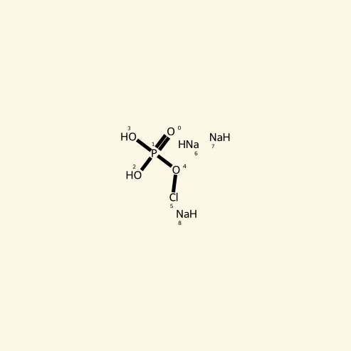 O=P(O)(O)OCl.[NaH].[NaH].[NaH]